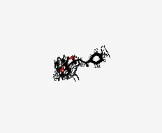 [2H]C([2H])([2H])C(C([2H])([2H])[2H])(C([2H])([2H])[2H])C(O)(CCc1ccc(Cl)cc1)Cn1cncn1